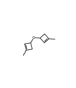 CC1=CC(OC2C=C(C)C2)C1